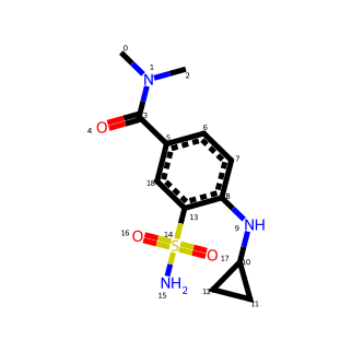 CN(C)C(=O)c1ccc(NC2CC2)c(S(N)(=O)=O)c1